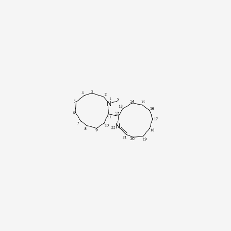 CN1CCCCCCCCCC1C1CCCCCCCC/C=N\1